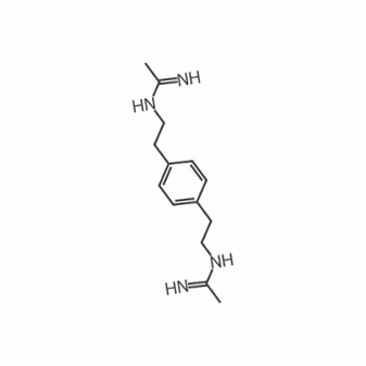 CC(=N)NCCc1ccc(CCNC(C)=N)cc1